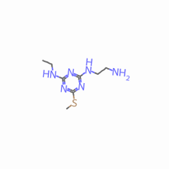 CCNc1nc(NCCN)nc(SC)n1